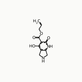 C=CCOC(=O)c1c(O)c2c([nH]c1=O)CNC2